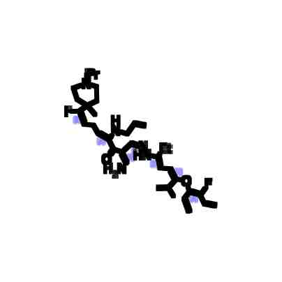 C=CCN/C(=C\C/C=C(/F)C1(C)CCN(C(C)C)CC1)C(=O)C(/C=N\N/C(=C/C=C(/O/C(C=C)=C(\F)C=C)C(=C)C)CC)=C\N